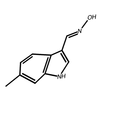 Cc1ccc2c(C=NO)c[nH]c2c1